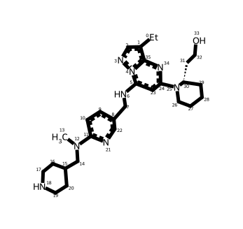 CCc1cnn2c(NCc3ccc(N(C)CC4CCNCC4)nc3)cc(N3CCCC[C@H]3CCO)nc12